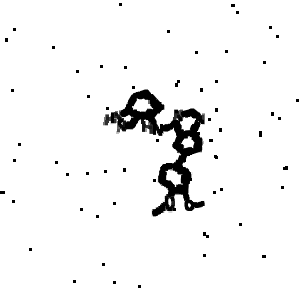 COc1ccc(-c2ccc3ncnc(Nc4cccc5[nH]ncc45)c3c2)cc1OC